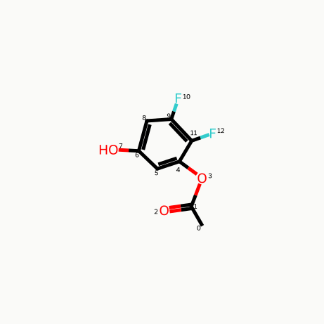 CC(=O)Oc1cc(O)cc(F)c1F